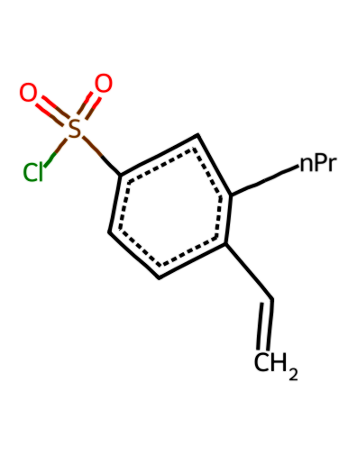 C=Cc1ccc(S(=O)(=O)Cl)cc1CCC